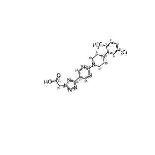 Cc1ccc(Cl)cc1N1CCN(c2ncc(-c3nnn(CC(=O)O)n3)cn2)CC1